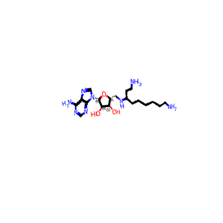 NCCCCCCC(CCN)NC[C@H]1O[C@@H](n2cnc3c(N)ncnc32)[C@H](O)[C@@H]1O